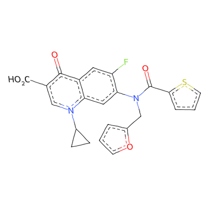 O=C(O)c1cn(C2CC2)c2cc(N(Cc3ccco3)C(=O)c3cccs3)c(F)cc2c1=O